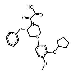 COc1ccc(N2CCN(C(=O)C(=O)O)[C@@H](Cc3ccccc3)C2)cc1OC1CCCC1